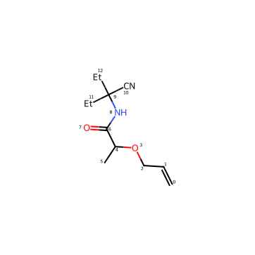 C=CCOC(C)C(=O)NC(C#N)(CC)CC